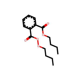 CCCCOOC(=O)c1ccccc1C(=O)OCCCC